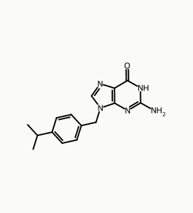 CC(C)c1ccc(Cn2cnc3c(=O)[nH]c(N)nc32)cc1